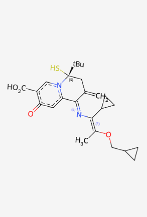 C=C1C[C@](S)(C(C)(C)C)n2cc(C(=O)O)c(=O)cc2/C1=N/C(=C(\C)OCC1CC1)C1CC1